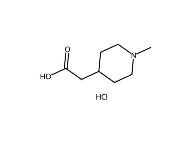 CN1CCC(CC(=O)O)CC1.Cl